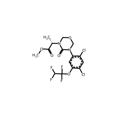 COC(=O)[C@H](C)N1COCN(c2cc(OC(F)(F)C(F)F)c(Cl)cc2Cl)C1=O